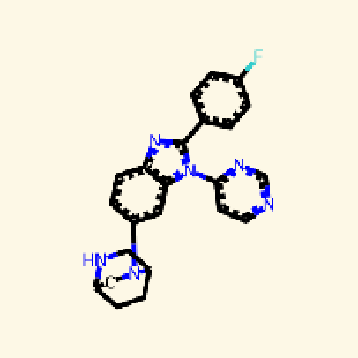 Fc1ccc(-c2nc3ccc(N4CC5CCC4CN5)cc3n2-c2ccncn2)cc1